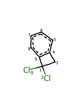 ClC1(Cl)Cc2ccccc21